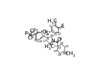 Cc1cc([S+]([O-])[C@@]2(c3ccc(C(F)(C(F)(F)F)C(F)(F)F)cc3)CCN(C(=O)C3(C)CCC(C)CC3)C2)ccc1F